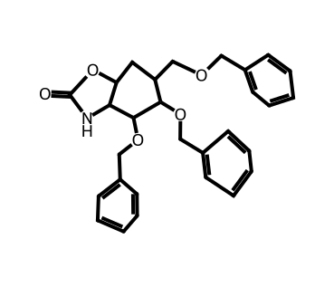 O=C1NC2C(CC(COCc3ccccc3)C(OCc3ccccc3)C2OCc2ccccc2)O1